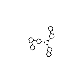 C1=C(c2nc(-c3ccc(-c4cccc5oc6ccccc6c45)cc3)nc(-c3ccc4ccccc4c3)n2)CCc2oc3ccccc3c21